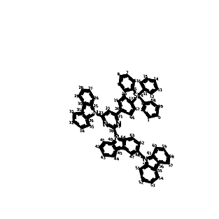 c1ccc([Si](c2ccccc2)(c2ccccc2)c2ccc(-c3cc(-n4c5ccccc5c5ccccc54)nc(-n4c5ccccc5c5cc(-n6c7ccccc7c7ccccc76)ccc54)n3)cc2)cc1